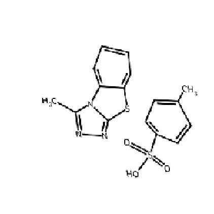 Cc1ccc(S(=O)(=O)O)cc1.Cc1nnc2sc3ccccc3n12